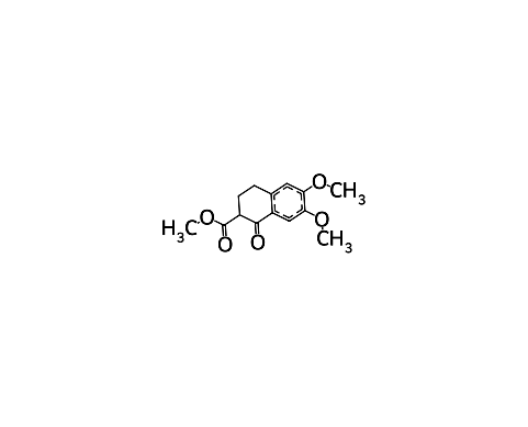 COC(=O)C1CCc2cc(OC)c(OC)cc2C1=O